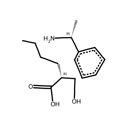 CCCC[C@H](CO)C(=O)O.C[C@@H](N)c1ccccc1